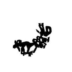 C[C@H](NC=O)C(=O)N[C@@H](C)C(=O)N[C@@H](C)C(=O)C(CC(=O)OC(C)(C)C)C(F)F